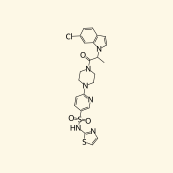 CC(C(=O)N1CCN(c2ccc(S(=O)(=O)Nc3nccs3)cn2)CC1)n1ccc2ccc(Cl)cc21